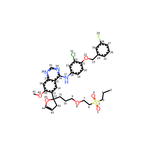 CCCS(=O)(=O)CCOCCCC1(c2cc3c(Nc4ccc(OCc5cccc(F)c5)c(Cl)c4)ncnc3cc2OC)CC=CO1